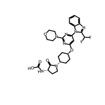 O=C(O)N[C@H]1CCN([C@H]2CC[C@H](Oc3cc(-n4c(C(F)F)nc5ccccc54)nc(N4CCOCC4)n3)CC2)C1=O